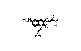 CNC(=O)COc1cc2cc(N)ccc2n(CCN(C)C)c1=O